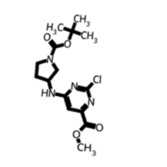 COC(=O)c1cc(NC2CCN(C(=O)OC(C)(C)C)C2)nc(Cl)n1